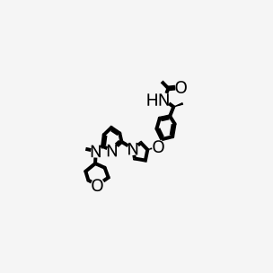 CC(=O)N[C@@H](C)c1ccc(O[C@@H]2CCN(c3cccc(N(C)C4CCOCC4)n3)C2)cc1